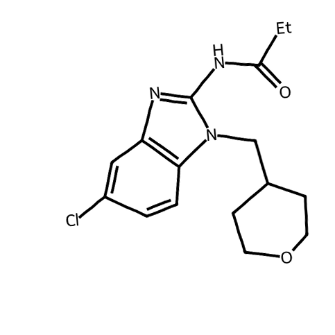 CCC(=O)Nc1nc2cc(Cl)ccc2n1CC1CCOCC1